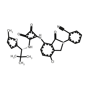 Cc1ccc([C@H](Nc2c(Nc3ccc(Cl)c4c3C(=O)N(c3ccccc3C#N)C4)c(=O)c2=O)C(C)(C)C)o1